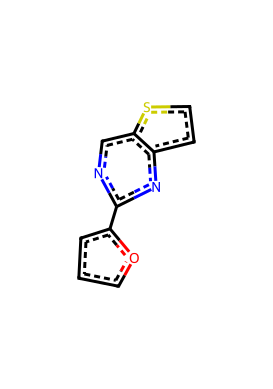 c1coc(-c2ncc3sccc3n2)c1